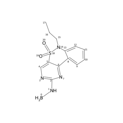 BNc1ncc2c(n1)-c1ccccc1N(CCC)S2(=O)=O